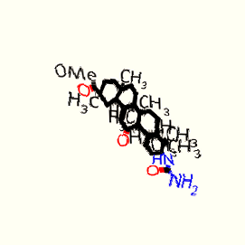 COC(=O)[C@@]1(C)CC[C@]2(C)CC[C@]3(C)C(=CC(=O)[C@@H]4[C@@]5(C)CCC(NC(N)=O)C(C)(C)[C@@H]5CC[C@]43C)[C@H]2C1